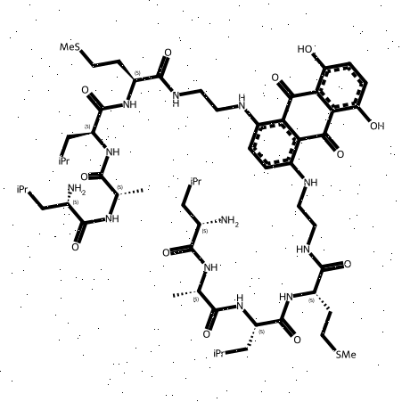 CSCC[C@H](NC(=O)[C@H](CC(C)C)NC(=O)[C@H](C)NC(=O)[C@@H](N)CC(C)C)C(=O)NCCNc1ccc(NCCNC(=O)[C@H](CCSC)NC(=O)[C@H](CC(C)C)NC(=O)[C@H](C)NC(=O)[C@@H](N)CC(C)C)c2c1C(=O)c1c(O)ccc(O)c1C2=O